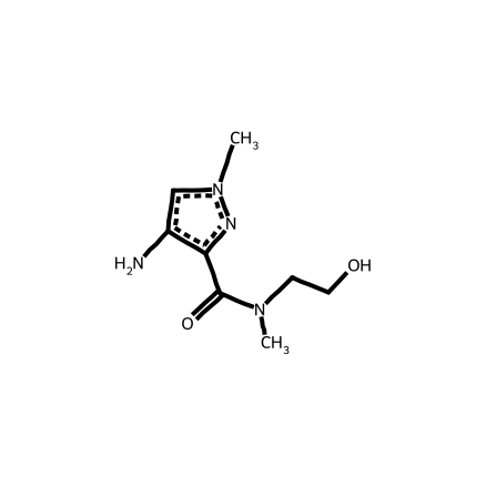 CN(CCO)C(=O)c1nn(C)cc1N